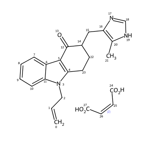 C=CCn1c2c(c3ccccc31)C(=O)C(Cc1nc[nH]c1C)CC2.O=C(O)/C=C\C(=O)O